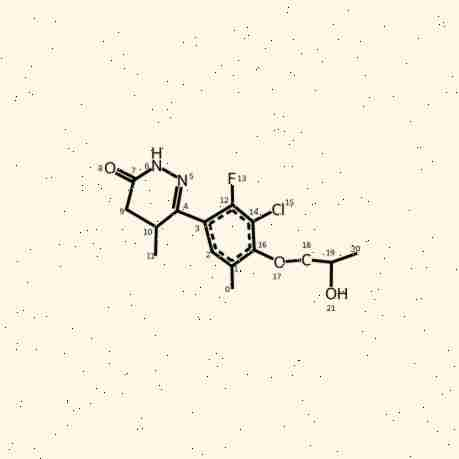 Cc1cc(C2=NNC(=O)CC2C)c(F)c(Cl)c1OCC(C)O